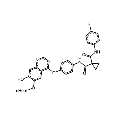 CCCCCCCOc1cc2c(Oc3ccc(NC(=O)C4(C(=O)Nc5ccc(F)cc5)CC4)cc3)ccnc2cc1O